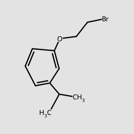 CC(C)c1cccc(OCCBr)c1